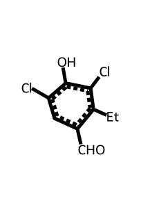 CCc1c(C=O)cc(Cl)c(O)c1Cl